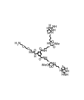 COC(=O)[C@H](CCCCNC(=O)c1cc(NC(=O)NCCOCCOCCN)cc(C(=O)NCCCC[C@H](NC(=O)CCCC[C@@H]2SC[C@@H]3NC(=N)N[C@@H]32)C(=O)OC)c1)NC(=O)CCCC[C@@H]1SC[C@@H]2NC(=N)N[C@@H]21